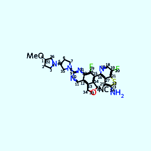 CO[C@H]1CCN([C@@H]2CCN(c3ncc4c5c(c(-c6ncc(F)c7sc(N)c(C#N)c67)c(F)c4n3)COC5)C2)C1